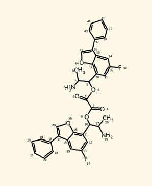 CC(N)C(OC(=O)C(=O)OC(c1cc(F)cc2c(-c3ccccc3)coc12)C(C)N)c1cc(F)cc2c(-c3ccccc3)coc12